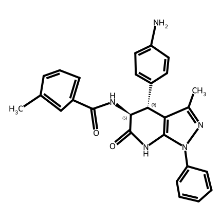 Cc1cccc(C(=O)N[C@@H]2C(=O)Nc3c(c(C)nn3-c3ccccc3)[C@H]2c2ccc(N)cc2)c1